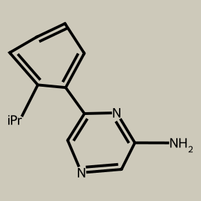 CC(C)c1ccccc1-c1cncc(N)n1